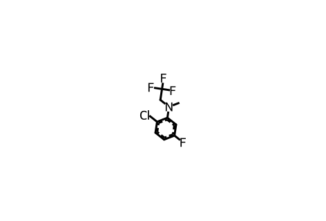 CN(CC(F)(F)F)c1cc(F)ccc1Cl